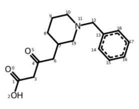 O=C(O)CC(=O)CC1CCCN(Cc2ccccc2)C1